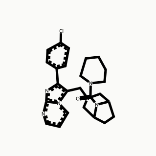 O=C(N1CCCCC1)N1C2CCC1CN(Cc1c(-c3ccc(Cl)cc3)nc3ncccn13)C2